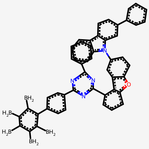 Bc1c(B)c(B)c(-c2ccc(-c3nc(-c4ccccc4)nc(-c4cccc5oc6ccc(-n7c8ccccc8c8ccc(-c9ccccc9)cc87)cc6c45)n3)cc2)c(B)c1B